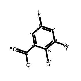 O=C(Cl)c1cc(F)cc(Br)c1Br